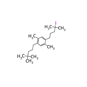 Cc1cc(CCCC(C)(C)I)c(C)cc1CCCC(C)(C)C